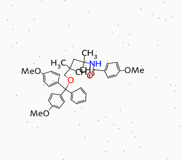 COc1ccc(C(=O)NC(C)(C)CC(C)(C)COC(c2ccccc2)(c2ccc(OC)cc2)c2ccc(OC)cc2)cc1